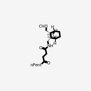 CCCCCC(=O)CCC(=O)NC[C@@H]1[C@H](CC=O)[C@@H]2CC[C@H]1O2